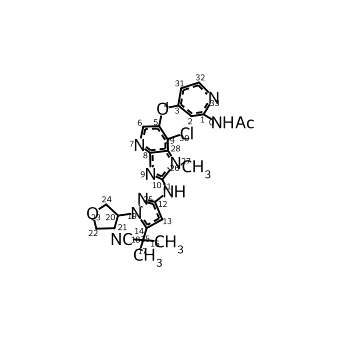 CC(=O)Nc1cc(Oc2cnc3nc(Nc4cc(C(C)(C)C#N)n(C5CCOC5)n4)n(C)c3c2Cl)ccn1